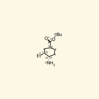 CC[C@H]1CN(C(=O)OC(C)(C)C)CC[C@@H]1N